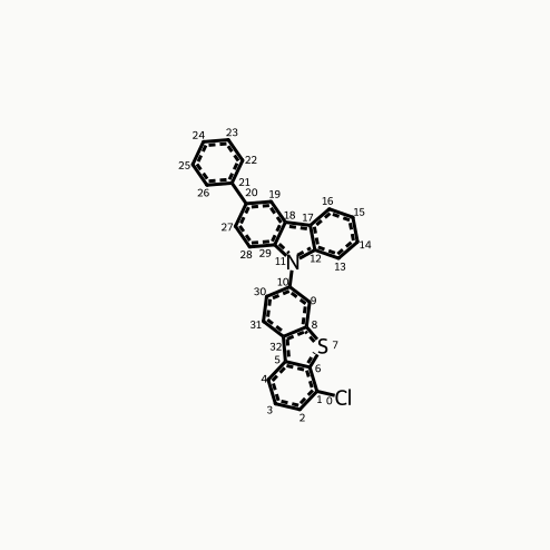 Clc1cccc2c1sc1cc(-n3c4ccccc4c4cc(-c5ccccc5)ccc43)ccc12